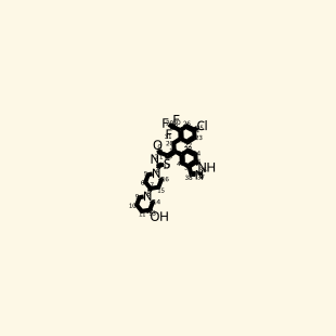 O=C1N=C(N2CCC(N3CCCC(O)C3)CC2)SC1=C(Cc1ccc(Cl)cc1C(F)(F)F)c1ccc2[nH]ncc2c1